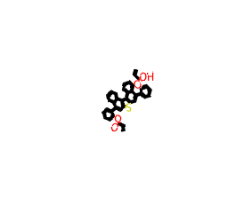 C=CC(=O)Oc1ccccc1-c1cc2sc3cc(-c4ccccc4OC(O)C=C)c4ccccc4c3c2c2ccccc12